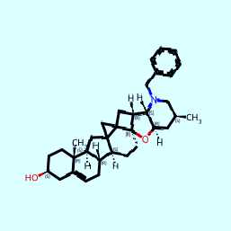 C[C@H]1C[C@H]2O[C@@]34CC[C@H]5[C@@H]6CC=C7C[C@@H](O)CC[C@]7(C)[C@H]6CC56CC63C[C@@H]4[C@@H]2N(Cc2ccccc2)C1